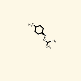 CC1CCC(=NOC(C)C)CC1